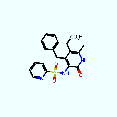 Cc1[nH]c(=O)c(NS(=O)(=O)c2ccccn2)c(Cc2ccccc2)c1CC(=O)O